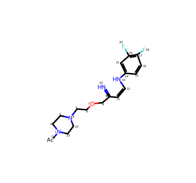 CC(=O)N1CCN(CCOCC(=N)/C=C\Nc2ccc(F)c(F)c2)CC1